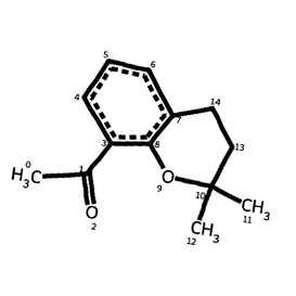 CC(=O)c1cccc2c1OC(C)(C)CC2